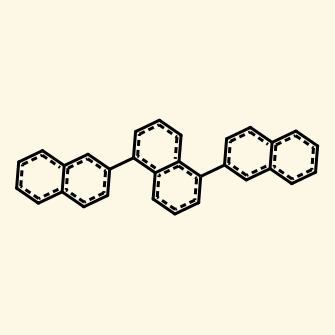 c1ccc2cc(-c3cccc4c(-c5ccc6ccccc6c5)cccc34)ccc2c1